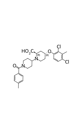 Cc1ccc(C(=O)N2CCC(N3CC[C@@H](Oc4ccc(Cl)c(C)c4Cl)C[C@@H]3C(=O)O)CC2)cc1